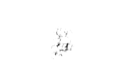 Cl.Clc1ccc2c(OC3CCNCC3)cccc2n1